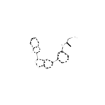 CC(C)(C)CC(=O)Nc1cncc(-c2cc3c(-c4nc5ccccc5[nH]4)n[nH]c3cn2)c1